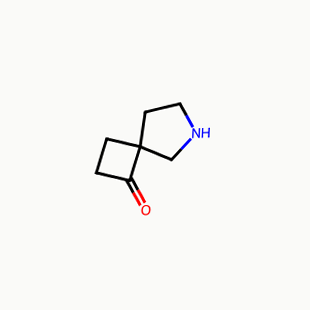 O=C1CCC12CCNC2